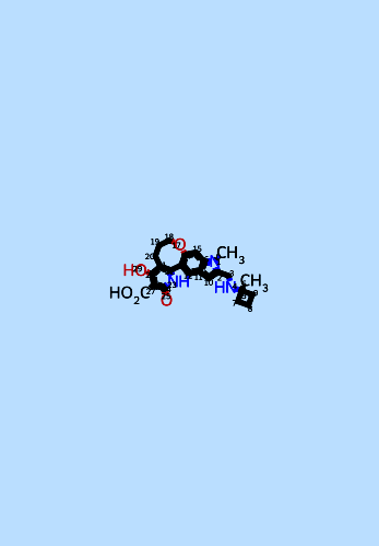 Cn1c(CNC2(C)CCC2)cc2cc3c(cc21)OCCCc1c-3[nH]c(=O)c(C(=O)O)c1O